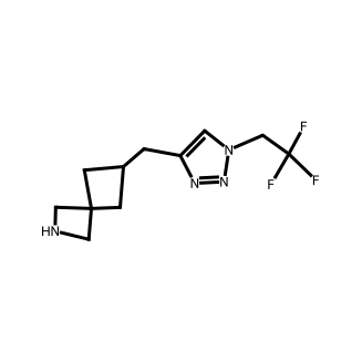 FC(F)(F)Cn1cc(CC2CC3(CNC3)C2)nn1